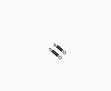 [O]=[Ir].[O]=[Ti]